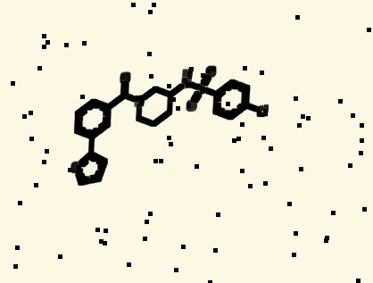 O=C(c1cccc(-c2ccco2)c1)N1CCCC(NS(=O)(=O)c2ccc(Cl)cc2)C1